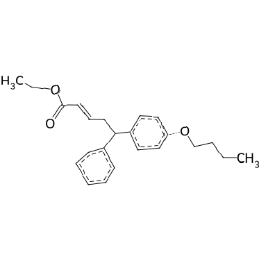 CCCCOc1ccc(C(C/C=C/C(=O)OCC)c2ccccc2)cc1